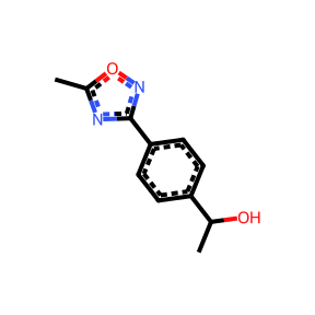 Cc1nc(-c2ccc(C(C)O)cc2)no1